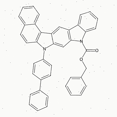 O=C(OCc1ccccc1)n1c2ccccc2c2cc3c4c5ccccc5ccc4n(-c4ccc(-c5ccccc5)cc4)c3cc21